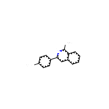 COc1ccc(-c2cc3ccccc3c(OC)n2)cc1